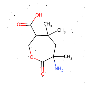 CC1(N)CC(C)(C)C(C(=O)O)COC1=O